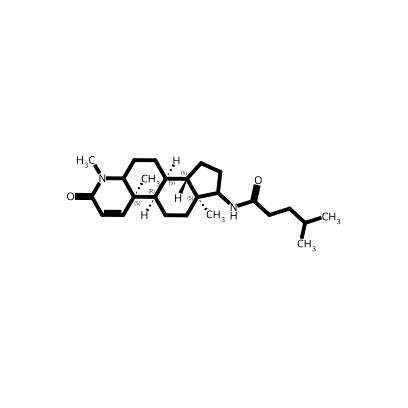 CC(C)CCC(=O)NC1CC[C@H]2[C@@H]3CCC4N(C)C(=O)C=C[C@]4(C)[C@@H]3CC[C@]12C